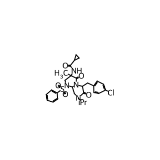 CC(C)N1CC2N(C(=O)C(C)(NC(=O)C3CC3)CN2S(=O)(=O)c2ccccc2)C(Cc2ccc(Cl)cc2)C1=O